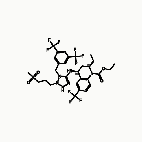 CCOC(=O)N1c2ccc(C(F)(F)F)cc2[C@@H](NC2=NNN(CCCS(C)(=O)=O)N2Cc2cc(C(F)(F)F)cc(C(F)(F)F)c2)C[C@H]1CC